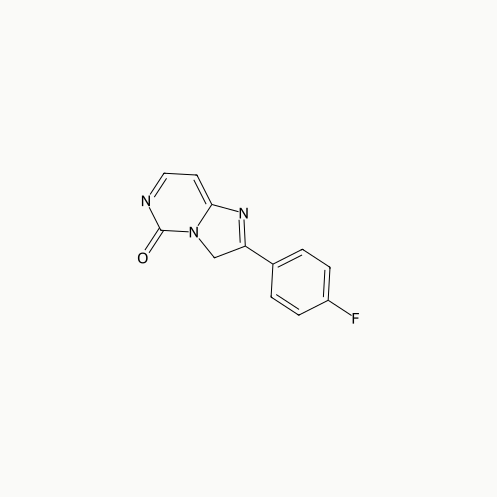 O=c1nccc2n1CC(c1ccc(F)cc1)=N2